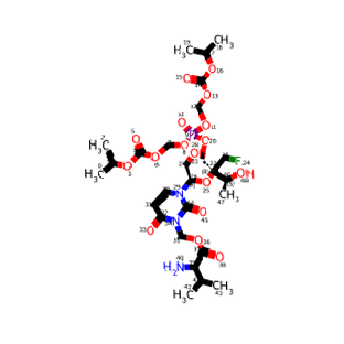 CC(C)OC(=O)OCOP(=O)(OCOC(=O)OC(C)C)OC[C@@](CF)(O[C@H](CO)n1ccc(=O)n(COC(=O)C(N)C(C)C)c1=O)[C@H](C)O